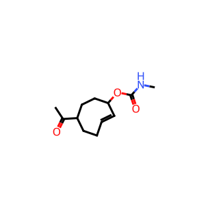 CNC(=O)OC1/C=C/CCC(C(C)=O)CC1